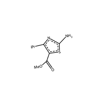 COC(=O)c1sc(N)nc1C(C)C